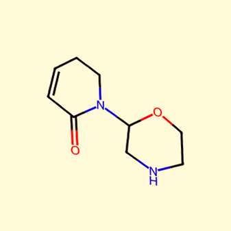 O=C1C=CCCN1C1CNCCO1